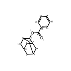 O=C(OC1C2CC3CC(C2)CC1C3)c1ccccc1